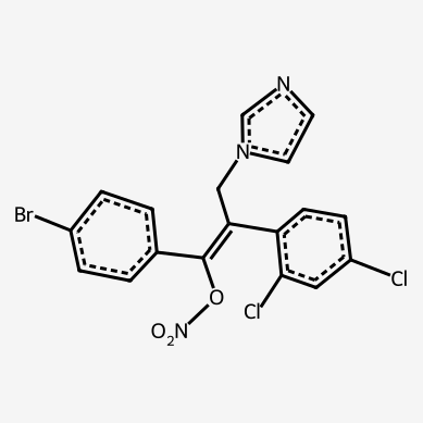 O=[N+]([O-])O/C(=C(/Cn1ccnc1)c1ccc(Cl)cc1Cl)c1ccc(Br)cc1